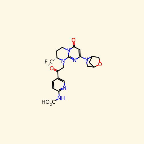 O=C(O)Nc1ccc(C(=O)CN2c3nc(N4CC5CC4CO5)cc(=O)n3CC[C@H]2C(F)(F)F)cn1